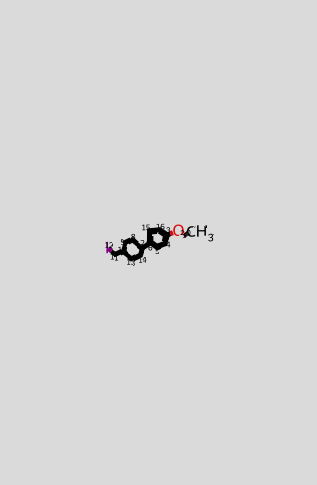 CCOc1ccc(C2CCC(CI)CC2)cc1